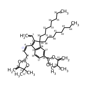 C=CC1=C(/C=C\CB2OC(=C)C(C)(C)O2)c2ccc(B(O)OC(=C)C(C)C)cc2C1(CCCCCCCC)CCCCCCCC